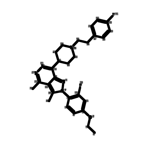 CCOc1ccc(-n2nc3c(C4CCN(CCc5ccc(F)cc5)CC4)nnc(C)c3c2C)c(F)c1